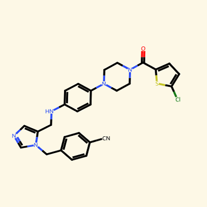 N#Cc1ccc(Cn2cncc2CNc2ccc(N3CCN(C(=O)c4ccc(Cl)s4)CC3)cc2)cc1